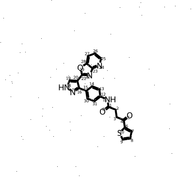 O=C(CCC(=O)c1cccs1)Nc1ccc(-c2n[nH]cc2-c2nc3ncccc3o2)cc1